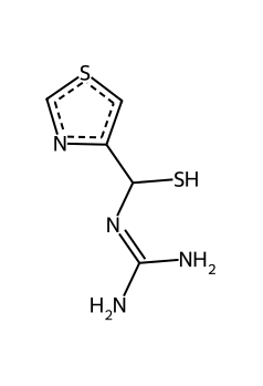 NC(N)=NC(S)c1cscn1